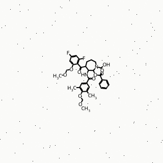 COCOc1cc(F)cc(F)c1C(=O)C1CCCN(C(=O)O)C(OC(=O)c2ccccc2)C1NC(=O)c1cc(C)c(OCOC)c(C)c1